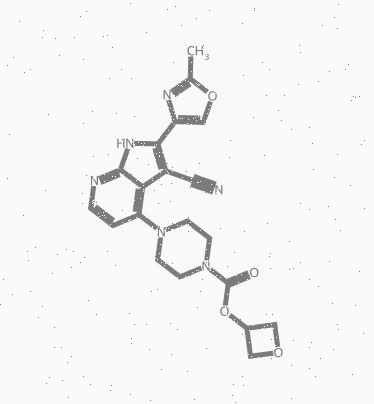 Cc1nc(-c2[nH]c3nccc(N4CCN(C(=O)OC5COC5)CC4)c3c2C#N)co1